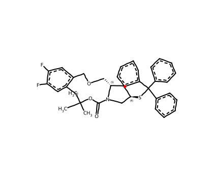 CC(C)(C)OC(=O)N1C[C@H](SC(c2ccccc2)(c2ccccc2)c2ccccc2)C[C@H]1COCc1cc(F)c(F)cc1F